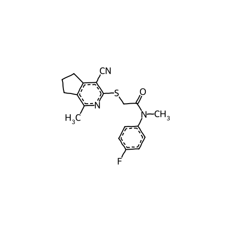 Cc1nc(SCC(=O)N(C)c2ccc(F)cc2)c(C#N)c2c1CCC2